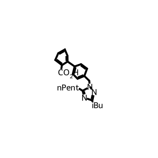 CCCCCc1nc(C(C)CC)nn1Cc1ccc(-c2ccccc2C(=O)O)cc1